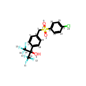 O=S(=O)(Cc1ccc(C(O)(C(F)(F)F)C(F)(F)F)cc1)c1ccc(Cl)cc1